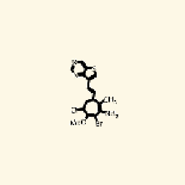 COC1=C(Br)C(N)=C(C)C(/C=C/c2csc3cncnc23)CC1Cl